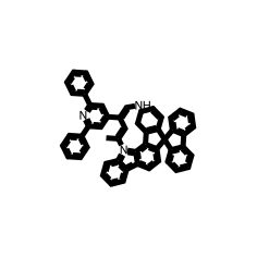 C/C(=C\C(=C/N)c1cc(-c2ccccc2)nc(-c2ccccc2)c1)n1c2ccccc2c2ccc3c(c21)C1=C(C=CCC1)C31c2ccccc2-c2ccccc21